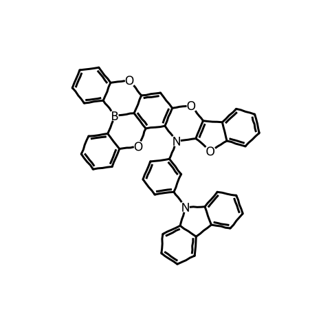 c1cc(N2c3oc4ccccc4c3Oc3cc4c5c(c32)Oc2ccccc2B5c2ccccc2O4)cc(-n2c3ccccc3c3ccccc32)c1